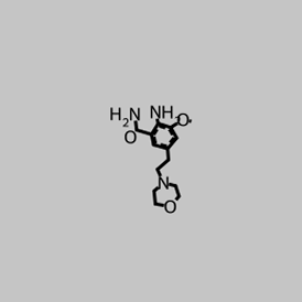 COc1cc(CCN2CCOCC2)cc(C(N)=O)c1N